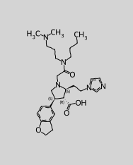 CCCCN(CCCN(C)C)C(=O)CN1C[C@H](c2ccc3c(c2)CCO3)[C@@H](C(=O)O)[C@@H]1CCn1ccnc1